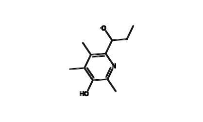 CCC([O])c1nc(C)c(O)c(C)c1C